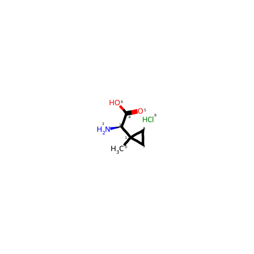 CC1([C@@H](N)C(=O)O)CC1.Cl